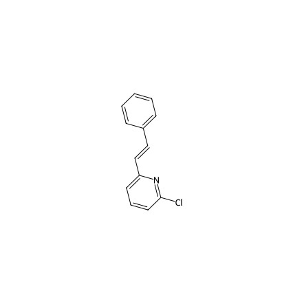 Clc1cccc(/C=C/c2ccccc2)n1